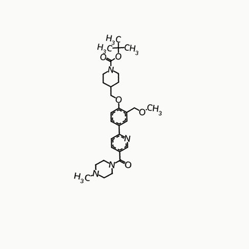 COCc1cc(-c2ccc(C(=O)N3CCN(C)CC3)cn2)ccc1OCC1CCN(C(=O)OC(C)(C)C)CC1